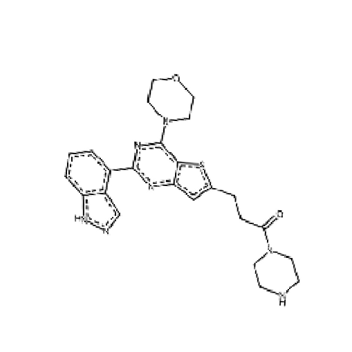 O=C(CCc1cc2nc(-c3cccc4[nH]ncc34)nc(N3CCOCC3)c2s1)N1CCNCC1